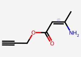 C#CCOC(=O)/C=C(/C)N